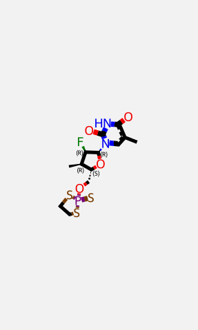 Cc1cn([C@@H]2O[C@H](COP3(=S)SCCS3)[C@@H](C)[C@H]2F)c(=O)[nH]c1=O